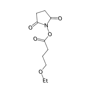 CCOCCCC(=O)ON1C(=O)CCC1=O